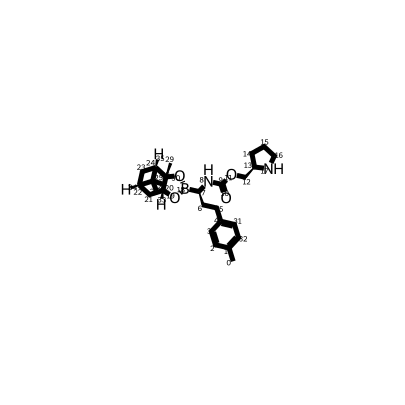 Cc1ccc(CC[C@H](NC(=O)OC[C@H]2CCCN2)B2O[C@@H]3C[C@@H]4C[C@@H](C4(C)C)[C@]3(C)O2)cc1